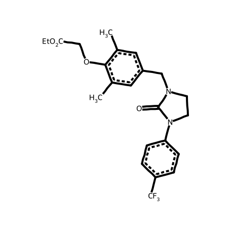 CCOC(=O)COc1c(C)cc(CN2CCN(c3ccc(C(F)(F)F)cc3)C2=O)cc1C